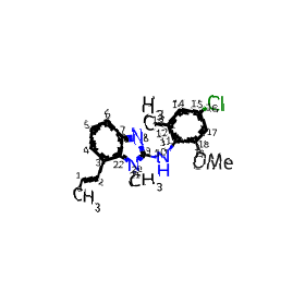 CC=Cc1cccc2nc(Nc3c(C)cc(Cl)cc3OC)n(C)c12